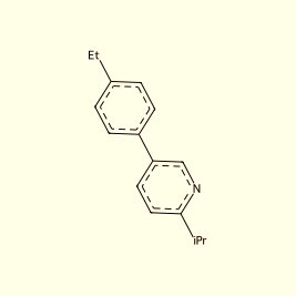 CCc1ccc(-c2ccc(C(C)C)nc2)cc1